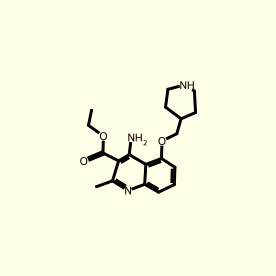 CCOC(=O)c1c(C)nc2cccc(OCC3CCNCC3)c2c1N